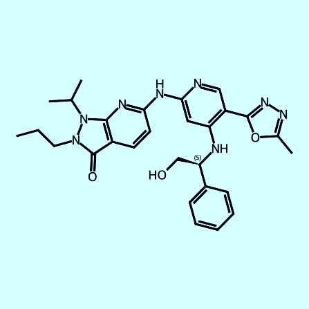 CCCn1c(=O)c2ccc(Nc3cc(N[C@H](CO)c4ccccc4)c(-c4nnc(C)o4)cn3)nc2n1C(C)C